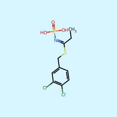 CCC(=NP(=O)(O)O)SCc1ccc(Cl)c(Cl)c1